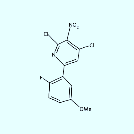 COc1ccc(F)c(-c2cc(Cl)c([N+](=O)[O-])c(Cl)n2)c1